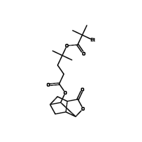 CCC(C)(C)C(=O)OC(C)(C)CCC(=O)OC1C2CC3C(=O)OC1C3C2